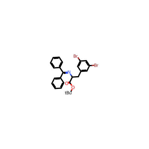 CC(C)(C)OC(=O)C(Cc1cc(Br)cc(Br)c1)N=C(c1ccccc1)c1ccccc1